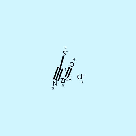 N#C[S-].[Cl-].[O]=[Zr+2]